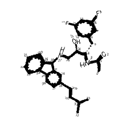 CC(=O)N[C@@H](Cc1cc(F)cc(F)c1)[C@H](O)CNC1c2ccccc2-c2ccc(CCC(C)C)cc21